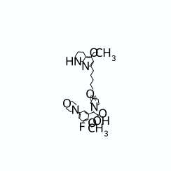 COc1cc(CCCCCO[C@@H]2CCN(C(C(=O)O)c3cc(N4CCOCC4)cc(F)c3OC)C2)nc2c1CCCN2